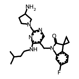 CC(C)CCNc1nc(N2CCC(N)C2)ncc1CN1C(=O)C2(CC2)c2ccc(F)cc21